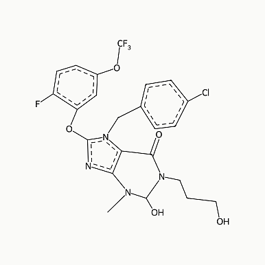 CN1c2nc(Oc3cc(OC(F)(F)F)ccc3F)n(Cc3ccc(Cl)cc3)c2C(=O)N(CCCO)C1O